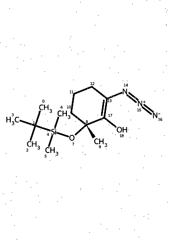 CC(C)(C)[Si](C)(C)O[C@]1(C)CCCC(N=[N+]=[N-])=C1O